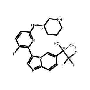 C[C@@](O)(c1ccc2ncc(-c3nc(N[C@@H]4CCCNC4)ccc3F)n2c1)C(F)(F)F